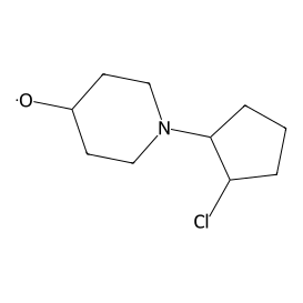 [O]C1CCN(C2CCCC2Cl)CC1